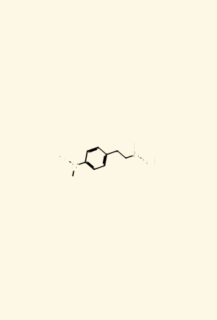 CC(=O)N(C)c1ccc(CCNN)cc1